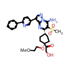 COCCO[C@]1(C(=O)CO)CC[C@H](c2nc3c(-c4ccc(-c5ccccc5)nc4)cnn3c(N)c2S(C)(=O)=O)CC1